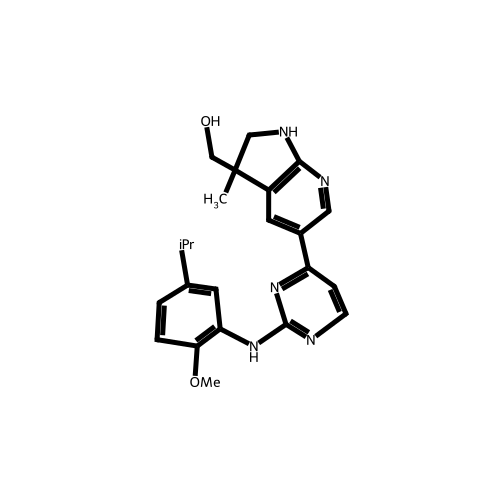 COc1ccc(C(C)C)cc1Nc1nccc(-c2cnc3c(c2)C(C)(CO)CN3)n1